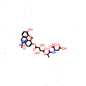 CC(OC(=O)[C@H](O)[C@@H](O)C(=O)OC1=CC[C@@]2(O)[C@H]3Cc4ccc(O)c5c4[C@@]2(CCN3C)[C@H]1O5)C(=O)NC(CC(=O)O)C(=O)O